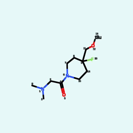 CN(C)CC(=O)N1CCC(F)(COC(C)(C)C)CC1